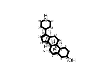 C[C@H]1C=C2CC(O)CC[C@]2(C)[C@H]2CC[C@]3(C)C(C4CCNCC4)=CC[C@H]3[C@H]12